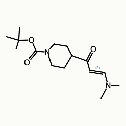 CN(C)/C=C/C(=O)C1CCN(C(=O)OC(C)(C)C)CC1